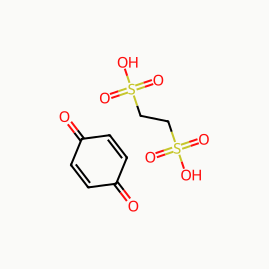 O=C1C=CC(=O)C=C1.O=S(=O)(O)CCS(=O)(=O)O